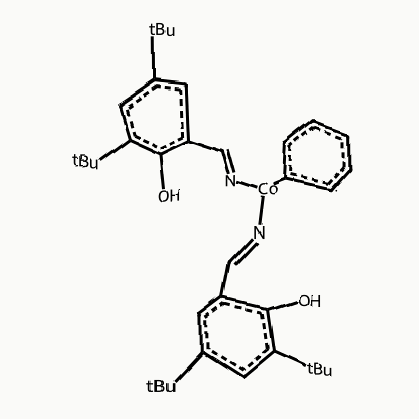 CC(C)(C)c1cc(C=[N][Co]([N]=Cc2cc(C(C)(C)C)cc(C(C)(C)C)c2O)[c]2[c]cccc2)c(O)c(C(C)(C)C)c1